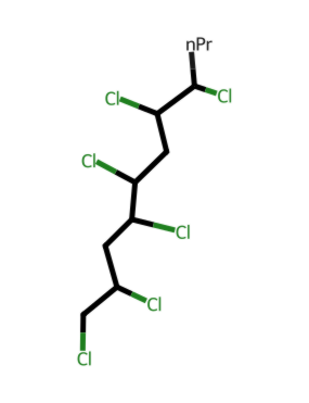 CCCC(Cl)C(Cl)CC(Cl)C(Cl)CC(Cl)CCl